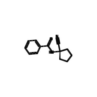 N#CC1(NC(=O)c2ccccc2)CCCC1